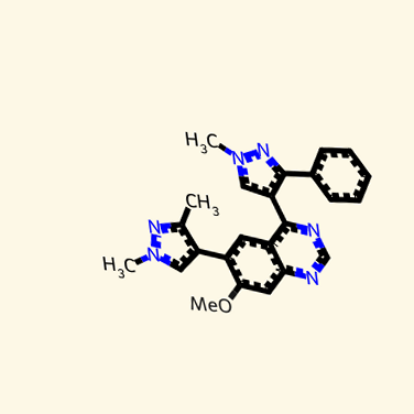 COc1cc2ncnc(-c3cn(C)nc3-c3ccccc3)c2cc1-c1cn(C)nc1C